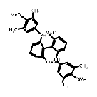 COc1cccc(Pc2cc(C)c(OC)c(C)c2)c1-c1c(OC)cccc1Pc1cc(C)c(OC)c(C)c1